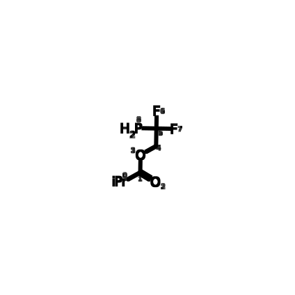 CC(C)C(=O)OCC(F)(F)P